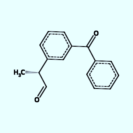 C[C@@H](C=O)c1cccc(C(=O)c2ccccc2)c1